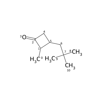 CC1C(=O)CC1CC(C)(C)C